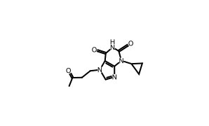 CC(=O)CCn1cnc2c1c(=O)[nH]c(=O)n2C1CC1